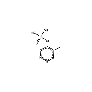 Cc1cnnnn1.O=P(O)(O)O